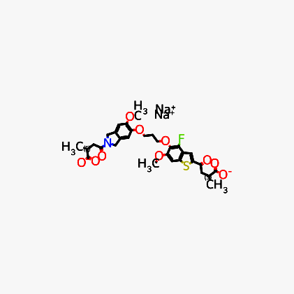 COc1cc2c(cc1OCCCOc1c(OC)cc3sc(C(=O)C[C@H](C)C(=O)[O-])cc3c1F)CN(C(=O)C[C@H](C)C(=O)[O-])C2.[Na+].[Na+]